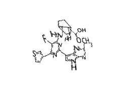 Cc1cnc2[nH]cc(-c3nc(N[C@H]4C5CCC(CC5)[C@@H]4C(=O)O)c(F)c(-c4ccsc4)n3)c2n1